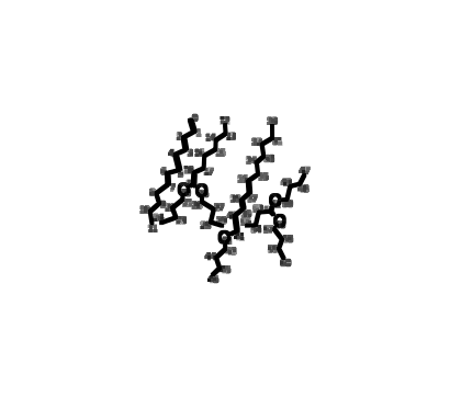 C=CC=CC=CC=CCCCC.CCCCCCC=C(OCCCC)OCCCC.CCCCCCC=CC=CC=COCCCC.CCCCOC(CCC)OCCCC